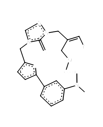 CN(C)c1cccc(-c2ccc(Cn3cnn(C/C(=C/F)CNC(=O)O)c3=O)s2)c1